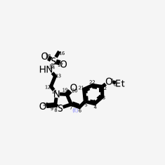 CCOc1ccc(/C=C2/SC(=O)N(CCNS(C)(=O)=O)C2=O)cc1